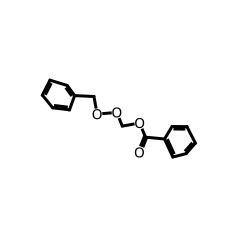 O=C(OCOOCc1ccccc1)c1ccccc1